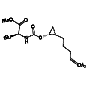 C=CCCCC1C[C@H]1OC(=O)N[C@H](C(=O)OC)C(C)(C)C